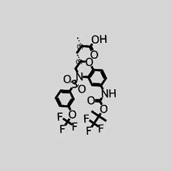 C[C@@H](C[C@H]1CN(S(=O)(=O)c2cccc(OC(F)(F)F)c2)c2cc(NC(=O)OC(C)(C)C(F)(F)F)ccc2O1)C(=O)O